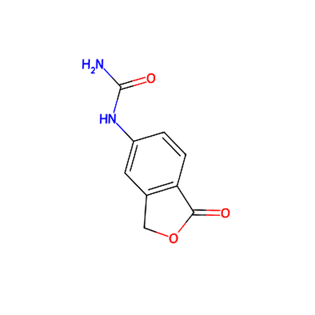 NC(=O)Nc1ccc2c(c1)COC2=O